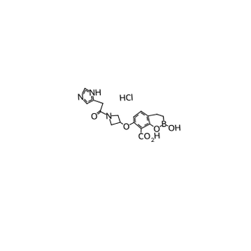 Cl.O=C(O)c1c(OC2CN(C(=O)Cc3cnc[nH]3)C2)ccc2c1OB(O)CC2